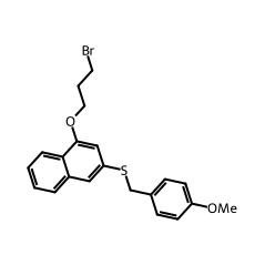 COc1ccc(CSc2cc(OCCCBr)c3ccccc3c2)cc1